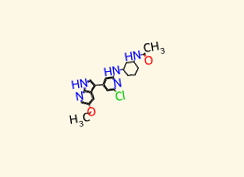 COc1cnc2[nH]cc(-c3cc(Cl)nc(NC4CCCC(NC(C)=O)C4)c3)c2c1